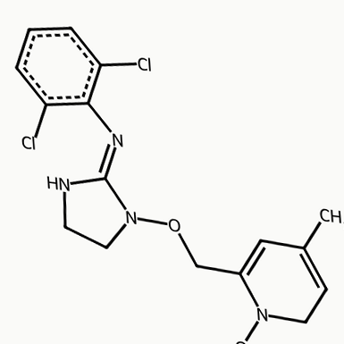 CC1=CCN([O])C(CON2CCNC2=Nc2c(Cl)cccc2Cl)=C1